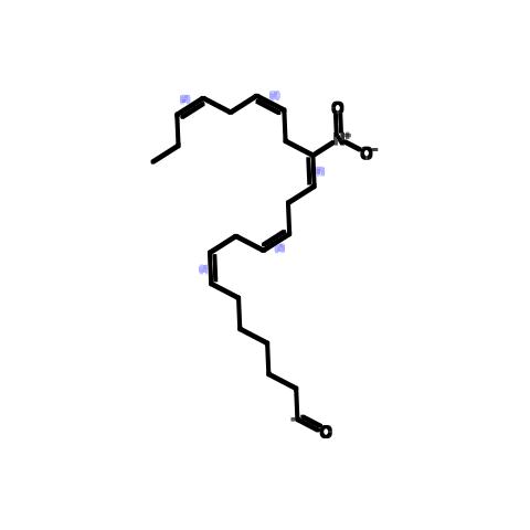 CC/C=C\C/C=C\C/C(=C\C/C=C\C/C=C\CCCCC[C]=O)[N+](=O)[O-]